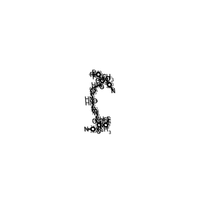 Cc1c([S+]([O-])c2ccc(C#N)cc2)cc(C(=O)NCCN2CCN(CCNC(=O)NCCN3CCN(CCNC(=O)c4cc([S+]([O-])c5ccc(C#N)cc5)c(C)n(-c5cccc(C(F)(F)F)c5)c4=O)CC3)CC2)c(=O)n1-c1cccc(C(F)(F)F)c1